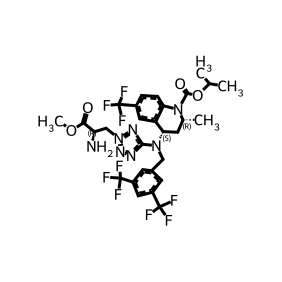 COC(=O)[C@H](N)Cn1nnc(N(Cc2cc(C(F)(F)F)cc(C(F)(F)F)c2)[C@H]2C[C@@H](C)N(C(=O)OC(C)C)c3ccc(C(F)(F)F)cc32)n1